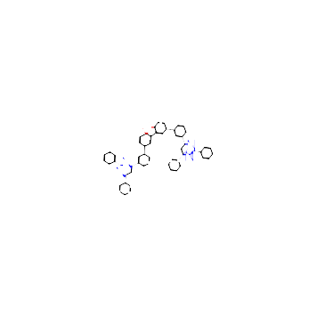 c1ccc(-c2cc(-c3cccc(-c4ccc5oc6ccc(-c7cccc(-c8cc(-c9ccccc9)nc(-c9ccccc9)n8)c7)cc6c5c4)c3)nc(-c3ccccc3)n2)cc1